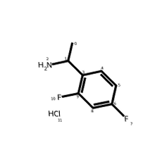 CC(N)c1ccc(F)cc1F.Cl